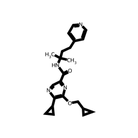 CC(C)(CCc1ccncc1)NC(=O)c1cnc(C2CC2)c(OCC2CC2)n1